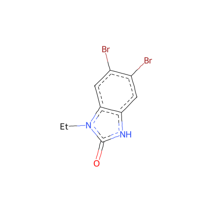 CCn1c(=O)[nH]c2cc(Br)c(Br)cc21